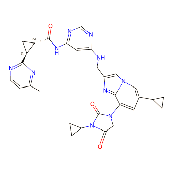 Cc1ccnc([C@H]2C[C@@H]2C(=O)Nc2cc(NCc3cn4cc(C5CC5)cc(N5CC(=O)N(C6CC6)C5=O)c4n3)ncn2)n1